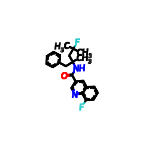 CC(C)(F)CC(C)(Cc1ccccc1)NC(=O)c1cnc2c(F)cccc2c1